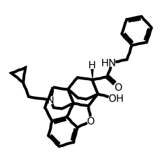 O=C(NCc1ccccc1)[C@H]1CC23CCC1(O)C1Oc4cccc5c4C12CCN(CC1CC1)C3C5